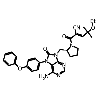 CCOC(C)(C)C=C(C#N)C(=O)N1CCC[C@H]1Cn1c(=O)n(-c2ccc(Oc3ccccc3)cc2)c2c(N)ncnc21